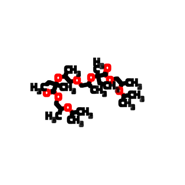 CCC(C)(OC(C)COCC(C)OC(C)(CC)C(=O)OCC(C)OC(C)C)C(=O)OCC(C)OC(C)C